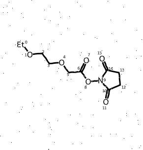 CCOCCOCC(=O)ON1C(=O)CCC1=O